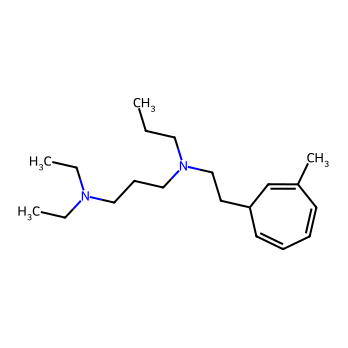 CCCN(CCCN(CC)CC)CCC1C=CC=CC(C)=C1